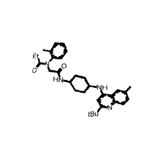 CCC(=O)N(CC(=O)NC1CCC(Nc2cc(C(C)(C)C)nc3ccc(C)cc23)CC1)c1ccccc1C